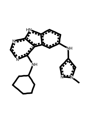 Cn1cc(Nc2ccc3[nH]c4ncnc(NC5CCCCC5)c4c3c2)cn1